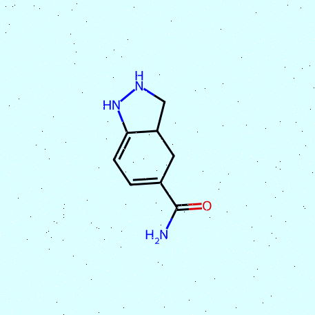 NC(=O)C1=CC=C2NNCC2C1